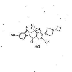 CC1(C)c2cc(N3CCN(C4CCC4)CC3)c(C3CC3)cc2C(=O)c2c1[nH]c1cc(C#N)ccc21.Cl